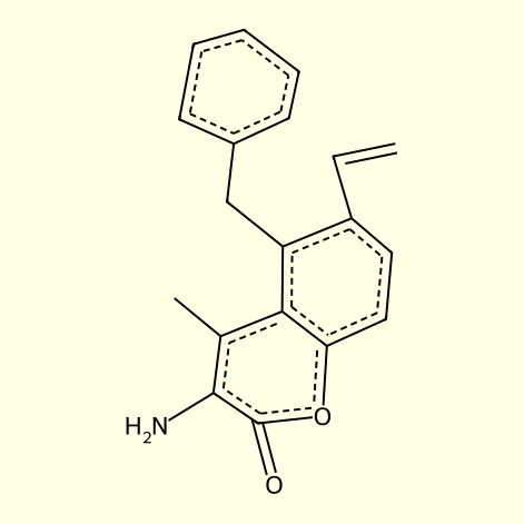 C=Cc1ccc2oc(=O)c(N)c(C)c2c1Cc1ccccc1